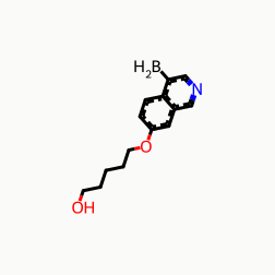 Bc1cncc2cc(OCCCCCO)ccc12